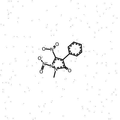 Cn1c(=O)c(-c2ccccc2)c([N+](=O)[O-])n1[N+](=O)[O-]